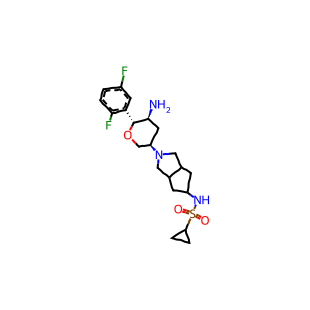 N[C@H]1C[C@@H](N2CC3CC(NS(=O)(=O)C4CC4)CC3C2)CO[C@@H]1c1cc(F)ccc1F